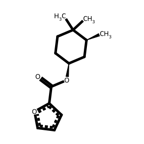 C[C@H]1C[C@@H](OC(=O)c2ccco2)CCC1(C)C